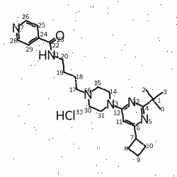 CC(C)(C)c1nc(C2CCC2)cc(N2CCN(CCCCNC(=O)c3ccncc3)CC2)n1.Cl